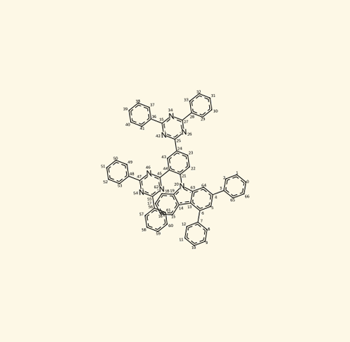 c1ccc(-c2cc(-c3ccccc3)c3c4ccccc4n(-c4ccc(-c5nc(-c6ccccc6)nc(-c6ccccc6)n5)cc4-c4nc(-c5ccccc5)nc(-c5ccccc5)n4)c3c2)cc1